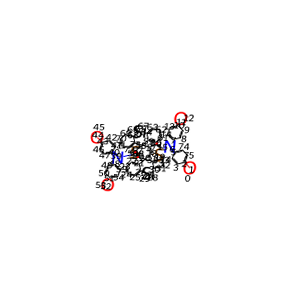 COc1ccc(N(c2ccc(OC)cc2)c2cc3c(s2)C2(c4ccccc4[Si](C)(C)c4ccccc42)c2cc(N(c4ccc(OC)cc4)c4ccc(OC)cc4)sc2C32c3ccccc3[Si](C)(C)c3ccccc32)cc1